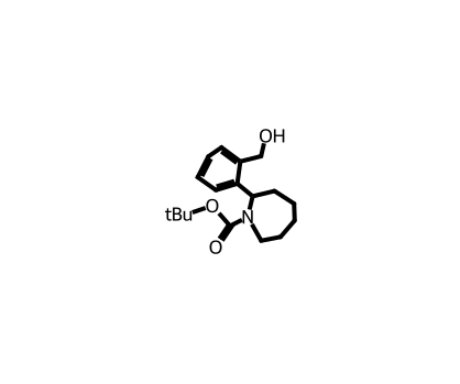 CC(C)(C)OC(=O)N1CCCCCC1c1ccccc1CO